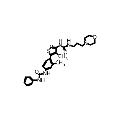 Cc1cc(NC(=O)Nc2ccccc2)ccc1-c1snc(NC(=O)NCCCN2CCOCC2)c1C